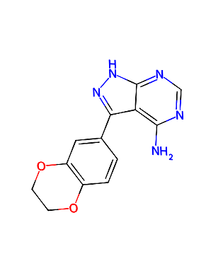 Nc1ncnc2[nH]nc(-c3ccc4c(c3)OCCO4)c12